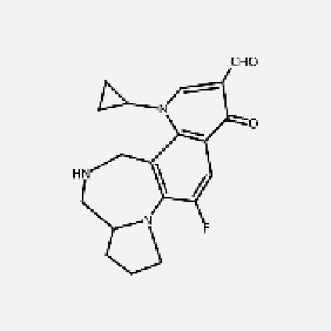 O=Cc1cn(C2CC2)c2c3c(c(F)cc2c1=O)N1CCCC1CNC3